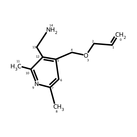 C=CCOCc1cc(C)nc(C)c1CN